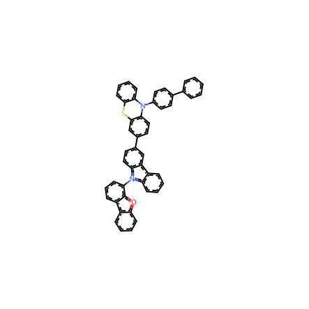 c1ccc(-c2ccc(N3c4ccccc4Sc4cc(-c5ccc6c(c5)c5ccccc5n6-c5cccc6c5oc5ccccc56)ccc43)cc2)cc1